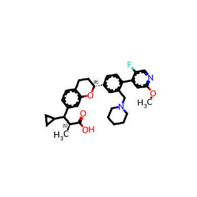 COc1cc(-c2ccc([C@H]3CCc4ccc(C(C5CC5)[C@H](C)C(=O)O)cc4O3)cc2CN2CCCCC2)c(F)cn1